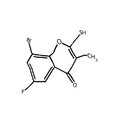 Cc1c(S)oc2c(Br)cc(F)cc2c1=O